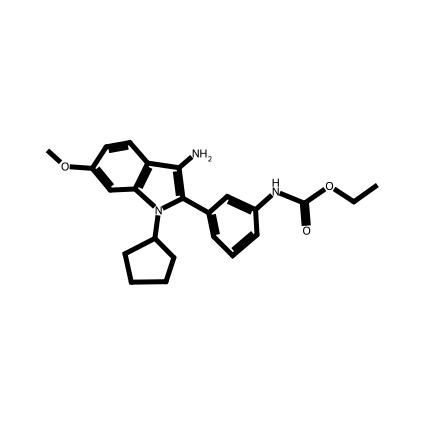 CCOC(=O)Nc1cccc(-c2c(N)c3ccc(OC)cc3n2C2CCCC2)c1